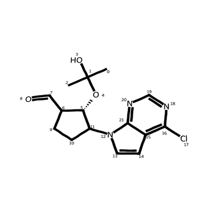 CC(C)(O)O[C@H]1C(C=O)CCC1n1ccc2c(Cl)ncnc21